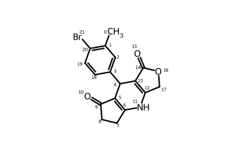 Cc1cc(C2C3=C(CCC3=O)NC3=C2C(=O)OC3)ccc1Br